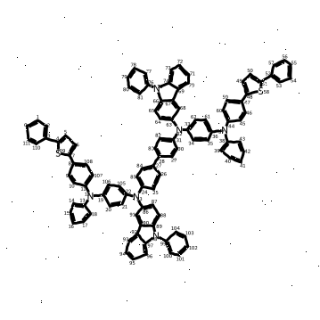 c1ccc(-c2ccc(-c3ccc(N(c4ccccc4)c4ccc(N(c5ccc(-c6ccc(N(c7ccc(N(c8ccccc8)c8ccc(-c9ccc(-c%10ccccc%10)s9)cc8)cc7)c7ccc8c(c7)c7ccccc7n8-c7ccccc7)cc6)cc5)c5ccc6c(c5)c5ccccc5n6-c5ccccc5)cc4)cc3)s2)cc1